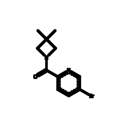 CC1(C)CN(C(=O)c2ccc(Br)cn2)C1